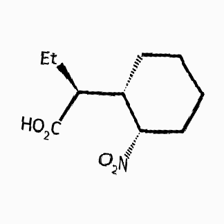 CC[C@H](C(=O)O)[C@@H]1CCCC[C@@H]1[N+](=O)[O-]